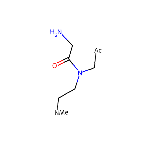 CNCCN(CC(C)=O)C(=O)CN